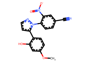 COc1ccc(-c2ccnn2-c2ccc(C#N)cc2[N+](=O)[O-])c(O)c1